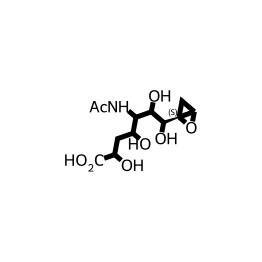 CC(=O)NC(C(O)CC(O)C(=O)O)C(O)C(O)[C@@]12CC1O2